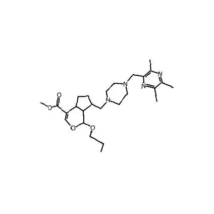 CCCOC1OC=C(C(=O)OC)C2CCC(CN3CCN(Cc4nc(C)c(C)nc4C)CC3)C12